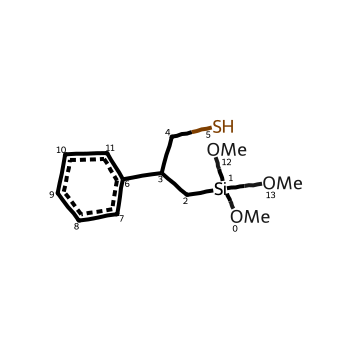 CO[Si](CC(CS)c1ccccc1)(OC)OC